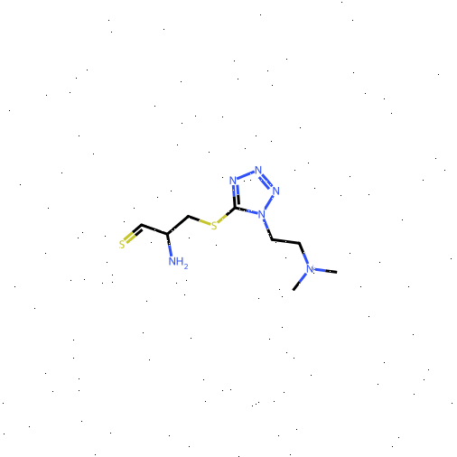 CN(C)CCn1nnnc1SCC(N)C=S